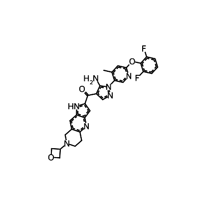 Cc1cc(Oc2c(F)cccc2F)ncc1-n1ncc(C(=O)c2cc3nc4c(cc3[nH]2)CN(C2COC2)CC4)c1N